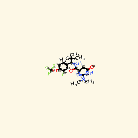 CN(C)c1nc(C(=O)NC(c2ccc(OC(F)(F)F)c(F)c2)C(C)(C)C)cc(=O)[nH]1